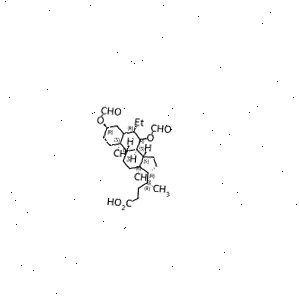 CC[C@@H]1C2C[C@H](OC=O)CC[C@]2(C)[C@H]2CC[C@]3(C)[C@@H]([C@H](C)CCC(=O)O)CC[C@H]3[C@@H]2[C@@H]1OC=O